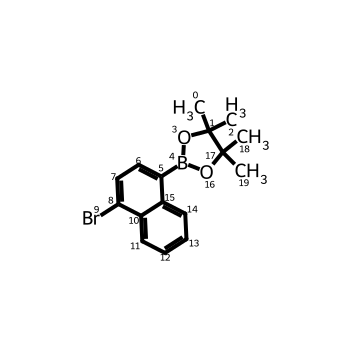 CC1(C)OB(c2ccc(Br)c3ccccc23)OC1(C)C